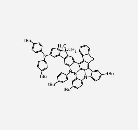 CC(C)(C)c1ccc(N2B3c4cc(C(C)(C)C)ccc4-n4c5ccc(C(C)(C)C)cc5c5c6oc7ccccc7c6c(c3c54)-c3cc4c(cc32)-c2cc(N(c3ccc(C(C)(C)C)cc3)c3ccc(C(C)(C)C)cc3)ccc2C4(C)C)cc1